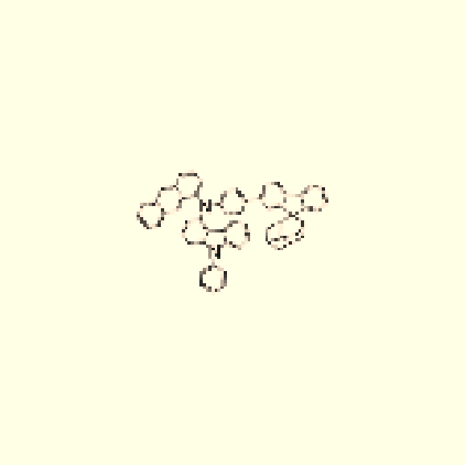 c1ccc(-n2c3ccccc3c3c(N(c4ccc(-c5ccc6c(c5)C5(c7ccccc7-6)C6CC7CC(C6)CC5C7)cc4)c4cccc5cc6ccccc6cc45)cccc32)cc1